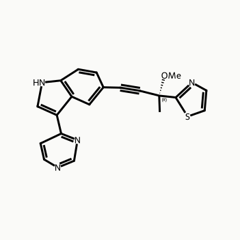 CO[C@](C)(C#Cc1ccc2[nH]cc(-c3ccncn3)c2c1)c1nccs1